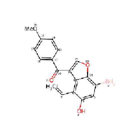 Bc1cc(O)c(C=C)c2c(C(=O)c3ccc(OC)cc3)coc12